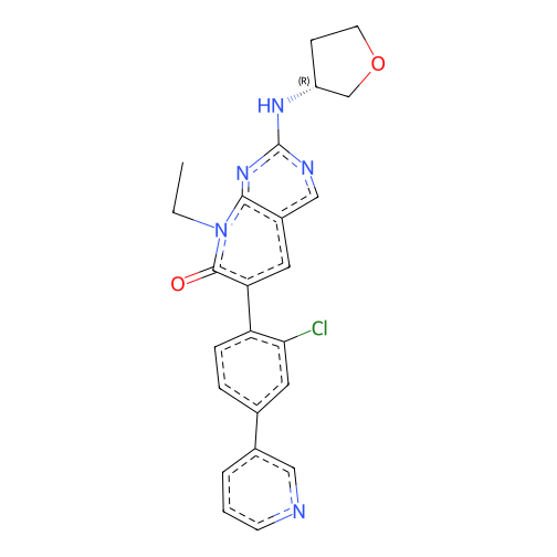 CCn1c(=O)c(-c2ccc(-c3cccnc3)cc2Cl)cc2cnc(N[C@@H]3CCOC3)nc21